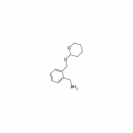 BCc1ccccc1COC1CCCCO1